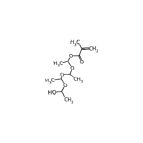 C=C(C)C(=O)OC(C)OC(C)OC(C)OC(C)O